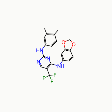 Cc1ccc(Nc2ncc(C(F)(F)F)c(Nc3ccc4c(c3)OCO4)n2)cc1C